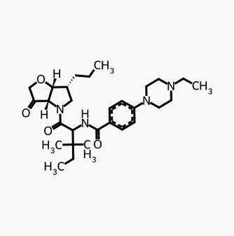 CCC[C@@H]1CN(C(=O)C(NC(=O)c2ccc(N3CCN(CC)CC3)cc2)C(C)(C)CC)[C@@H]2C(=O)CO[C@H]12